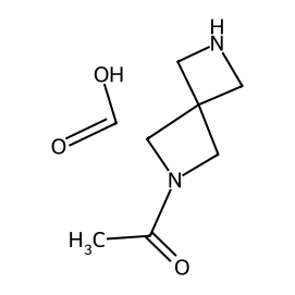 CC(=O)N1CC2(CNC2)C1.O=CO